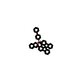 c1ccc(-c2ccc(N(c3ccc4c(c3)C3(c5ccccc5-4)c4ccccc4-c4ccc5ccccc5c43)c3ccc4ccccc4c3)cc2)cc1